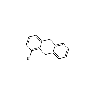 Brc1cccc2c1Cc1ccccc1C2